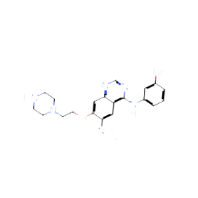 O=[N+]([O-])c1cc2c(Nc3cccc(Br)c3)ncnc2cc1OCCN1CCNCC1